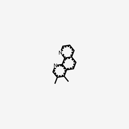 Cc1cnc2c(ccc3cccnc32)c1C